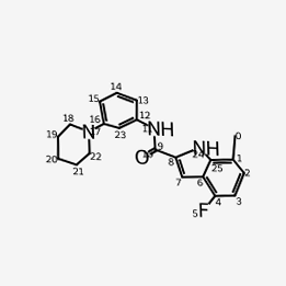 Cc1ccc(F)c2cc(C(=O)Nc3cccc(N4CCCCC4)c3)[nH]c12